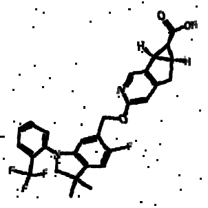 CC1(C)CN(c2ccccc2C(F)(F)F)c2cc(COc3cc4c(cn3)[C@H]3[C@@H](C4)[C@@H]3C(=O)O)c(F)cc21